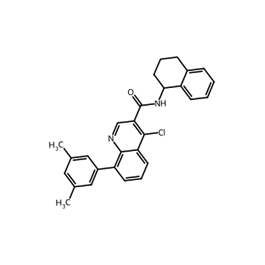 Cc1cc(C)cc(-c2cccc3c(Cl)c(C(=O)NC4CCCc5ccccc54)cnc23)c1